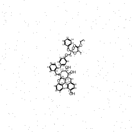 CCOC(=O)[C@@H](C)OP(=O)(COc1ccc(C[C@@H]2[C@H](O)[C@@H](O)[C@@H](Cc3ccc(O)cc3)N(Cc3ccccc3)C(=O)N2Cc2ccccc2)cc1)Oc1ccccc1